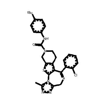 Cc1nnc2n1-c1sc3c(c1C(c1ccccc1Cl)=NC2)CCN(C(=O)Nc1ccc(C(C)(C)C)cc1)C3